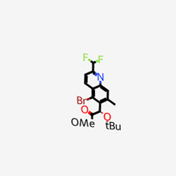 COC(=O)[C@@H](OC(C)(C)C)c1c(C)cc2nc(C(F)F)ccc2c1Br